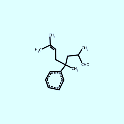 CC(C)=CCC(C)(CC(C)C=O)c1ccccc1